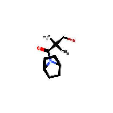 CC(C)(CBr)C(=O)N1C2CCC1CC2